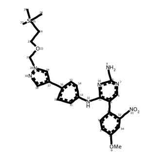 COc1ccc(-c2cnc(N)nc2Nc2ccc(-c3cnn(COCC[Si](C)(C)C)c3)cc2)c([N+](=O)[O-])c1